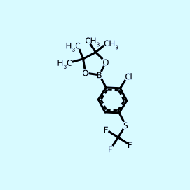 CC1(C)OB(c2ccc(SC(F)(F)F)cc2Cl)OC1(C)C